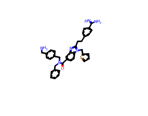 N=C(N)c1ccc(CCc2nc3cc(C(=O)N(Cc4ccccc4)Cc4ccc(CN)cc4)ccc3n2Cc2cccs2)cc1